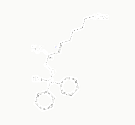 CCCCCCCCCCCCCC/C=C/[C@@H](C)CO[Si](c1ccccc1)(c1ccccc1)C(C)(C)C